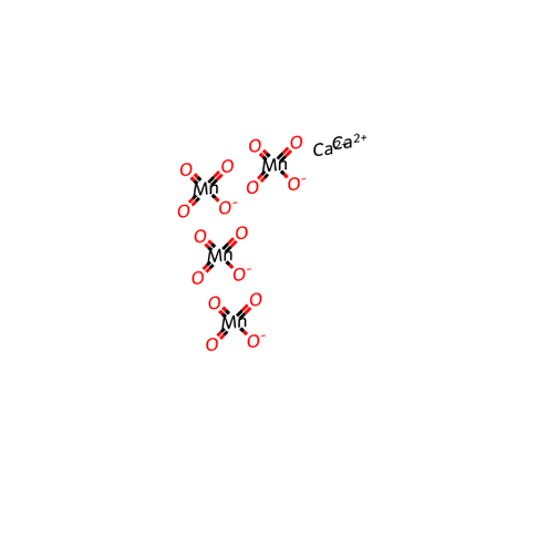 [Ca+2].[Ca+2].[O]=[Mn](=[O])(=[O])[O-].[O]=[Mn](=[O])(=[O])[O-].[O]=[Mn](=[O])(=[O])[O-].[O]=[Mn](=[O])(=[O])[O-]